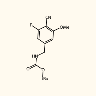 COc1cc(CNC(=O)OC(C)(C)C)cc(F)c1C#N